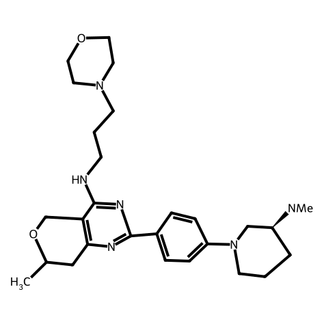 CN[C@H]1CCCN(c2ccc(-c3nc4c(c(NCCCN5CCOCC5)n3)COC(C)C4)cc2)C1